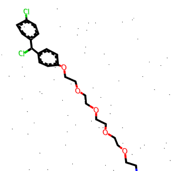 [N-]=[N+]=NCCOCCOCCOCCOCCOc1ccc(C(Cl)c2ccc(Cl)cc2)cc1